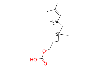 CC(C)=C[SiH2]C[Si](C)(C)CCCOC(=O)O